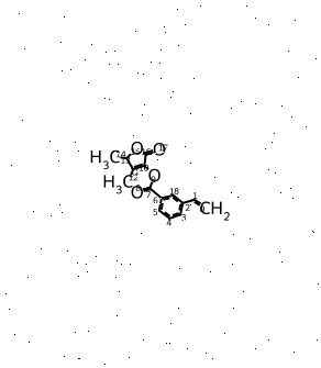 C=Cc1cccc(C(=O)OC2=C(C)C(C)OC2=O)c1